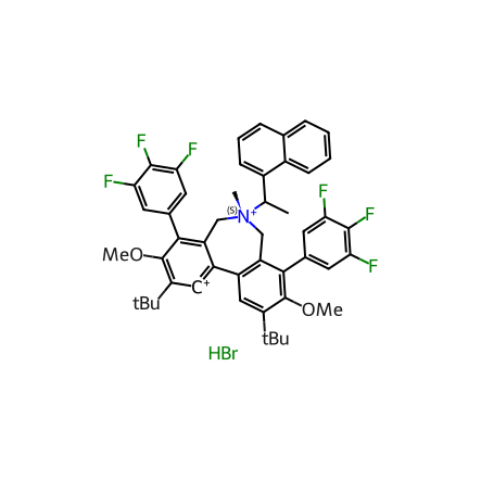 Br.COC1=C(C(C)(C)C)[C+]=C2C(=C1c1cc(F)c(F)c(F)c1)C[N@+](C)(C(C)c1cccc3ccccc13)Cc1c2cc(C(C)(C)C)c(OC)c1-c1cc(F)c(F)c(F)c1